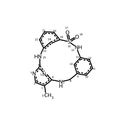 Cc1cnc2nc1NCc1cccc(c1)NS(=O)(=O)c1cccc(c1)N2